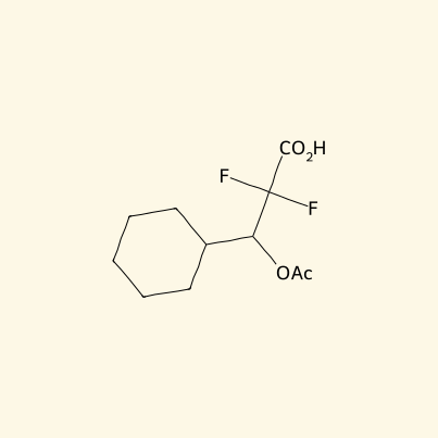 CC(=O)OC(C1CCCCC1)C(F)(F)C(=O)O